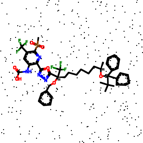 C[C@H](CCCCCC[C@@](OCc1ccccc1)(c1nnc(-c2nc(S(C)(=O)=O)c(C(F)(F)F)cc2NC(=O)O)o1)C(F)(F)F)O[Si](c1ccccc1)(c1ccccc1)C(C)(C)C